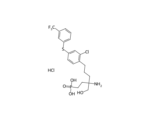 Cl.NC(CO)(CCCc1ccc(Sc2cccc(C(F)(F)F)c2)cc1Cl)CCP(=O)(O)O